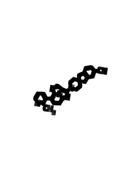 Cc1ncccc1-c1ccc2nc(N3CCC4(CC3)Cc3ccc(C#N)cc3C4)c3cnc1n23